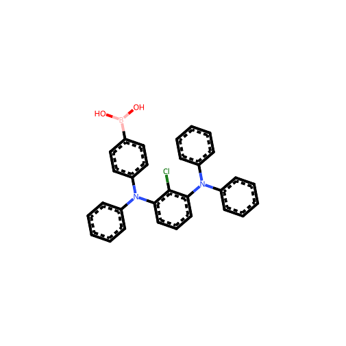 OB(O)c1ccc(N(c2ccccc2)c2cccc(N(c3ccccc3)c3ccccc3)c2Cl)cc1